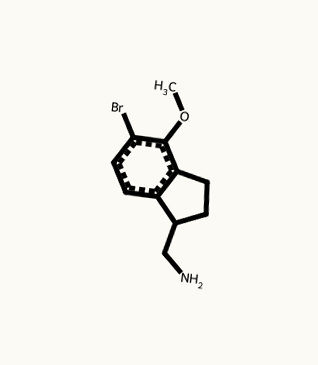 COc1c(Br)ccc2c1CCC2CN